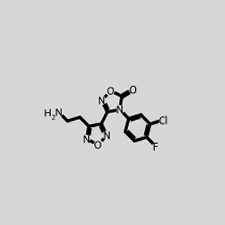 NCCc1nonc1-c1noc(=O)n1-c1ccc(F)c(Cl)c1